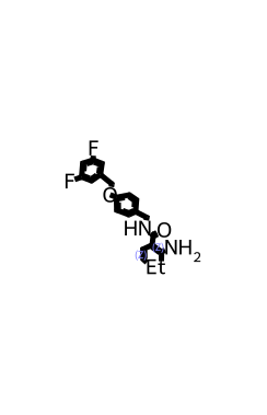 CC/C=C\C(C(=O)NCc1ccc(OCc2cc(F)cc(F)c2)cc1)=C(/C)N